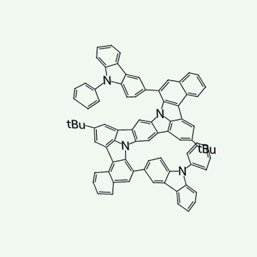 CC(C)(C)c1cc2c3cc4c(cc3n3c5c(-c6ccc7c(c6)c6ccccc6n7-c6ccccc6)cc6ccccc6c5c(c1)c23)c1cc(C(C)(C)C)cc2c3c5ccccc5cc(-c5ccc6c(c5)c5ccccc5n6-c5ccccc5)c3n4c12